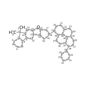 CC1(C)c2ccccc2-c2cc3c(cc21)oc1cc(-c2ccc4ccc5ccc(-c6ccccc6)c6ccc2c4c56)ccc13